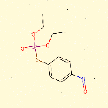 CCOP(=O)(OCC)Sc1ccc(N=O)cc1